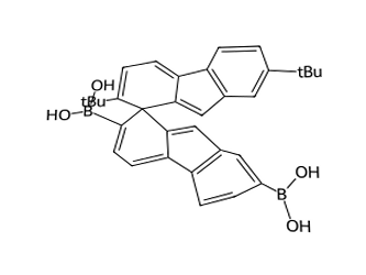 CC(C)(C)C1=CC=C2C(=Cc3cc(C(C)(C)C)ccc32)C12C(B(O)O)=CC=C1C2=Cc2cc(B(O)O)ccc21